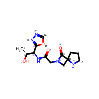 C[C@@H](O)[C@H](NC(=O)CN1CC2(CCCN2)C1=O)c1nnco1